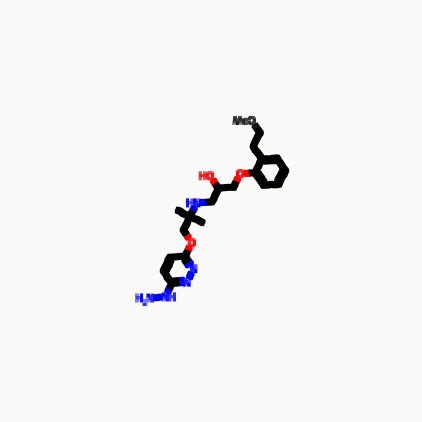 COCCc1ccccc1OCC(O)CNC(C)(C)COc1ccc(NN)nn1